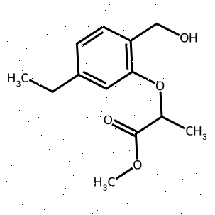 CCc1ccc(CO)c(OC(C)C(=O)OC)c1